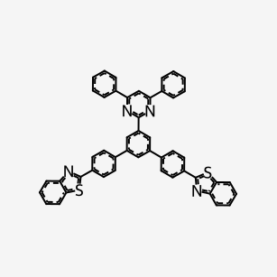 c1ccc(-c2cc(-c3ccccc3)nc(-c3cc(-c4ccc(-c5nc6ccccc6s5)cc4)cc(-c4ccc(-c5nc6ccccc6s5)cc4)c3)n2)cc1